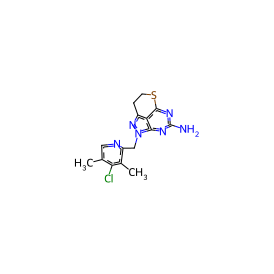 Cc1cnc(Cn2nc3c4c(nc(N)nc42)SCC3)c(C)c1Cl